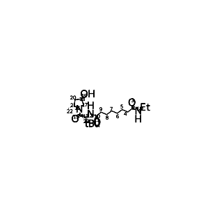 CCNC(=O)CCCCCCC(=O)N[C@H](C(=O)N1C[C@H](O)C[C@H]1C)C(C)(C)C